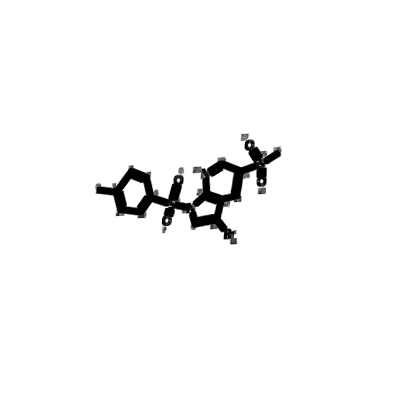 Cc1ccc(S(=O)(=O)n2cc(Br)c3cc(S(C)(=O)=O)cnc32)cc1